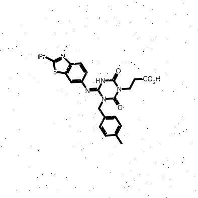 Cc1ccc(Cn2c(=O)n(CCC(=O)O)c(=O)[nH]/c2=N\c2ccc3nc(C(C)C)sc3c2)cc1